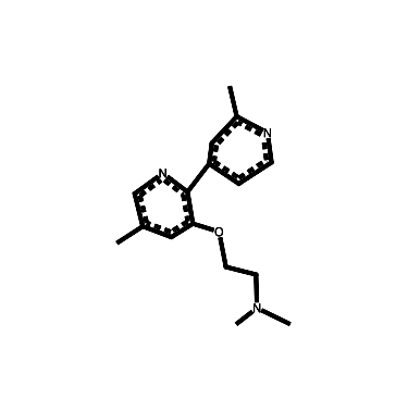 Cc1cnc(-c2ccnc(C)c2)c(OCCN(C)C)c1